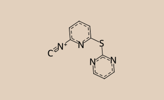 [C-]#[N+]c1cccc(Sc2ncccn2)n1